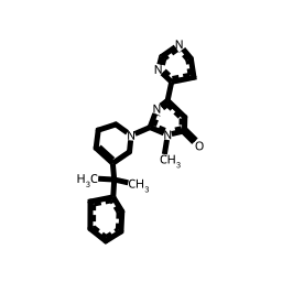 Cn1c(N2CCC=C(C(C)(C)c3ccccc3)C2)nc(-c2ccncn2)cc1=O